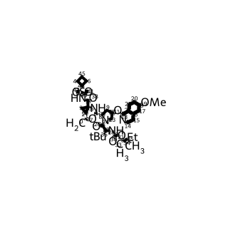 C=C[C@@H]1C[C@]1(NC(=O)[C@@H]1C[C@@H](Oc2nccc3cc(OC)ccc23)CN1C(=O)[C@@H](NC(=O)OC(C)(C)CC)C(C)(C)C)C(=O)NS(=O)(=O)C1CCC1